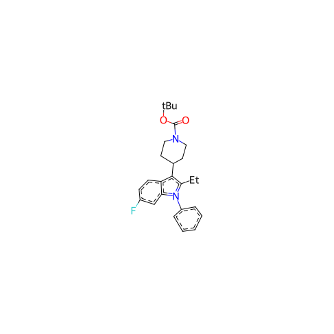 CCc1c(C2CCN(C(=O)OC(C)(C)C)CC2)c2ccc(F)cc2n1-c1ccccc1